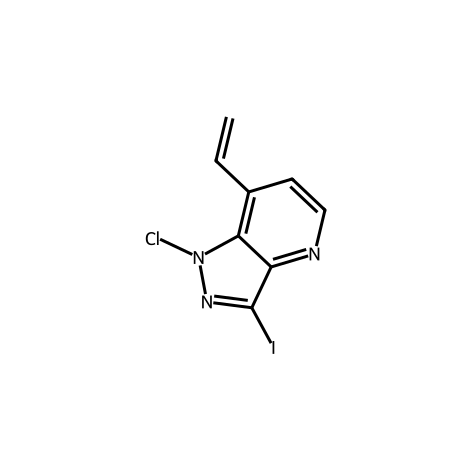 C=Cc1ccnc2c(I)nn(Cl)c12